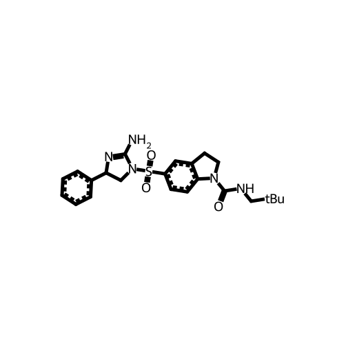 CC(C)(C)CNC(=O)N1CCc2cc(S(=O)(=O)N3CC(c4ccccc4)N=C3N)ccc21